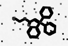 O=C(C=P(c1ccccc1)(c1ccccc1)c1ccccc1)OCCl